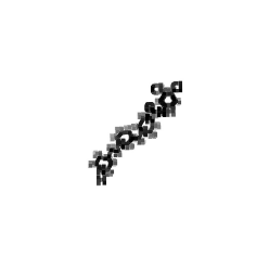 O=C(Nc1ccc(Cl)c(Cl)c1)N1CCN(C[C@@H]2CCCN(CCC3CCNCC3)C2)CC1